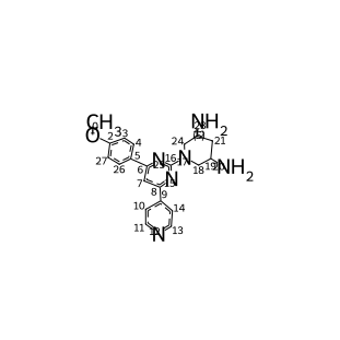 COc1ccc(-c2cc(-c3ccncc3)nc(N3CC(N)C[C@H](N)C3)n2)cc1